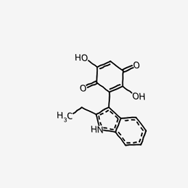 CCc1[nH]c2ccccc2c1C1=C(O)C(=O)C=C(O)C1=O